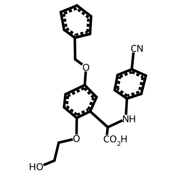 N#Cc1ccc(NC(C(=O)O)c2cc(OCc3ccccc3)ccc2OCCO)cc1